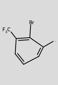 [CH2]c1cccc(C(F)(F)F)c1Br